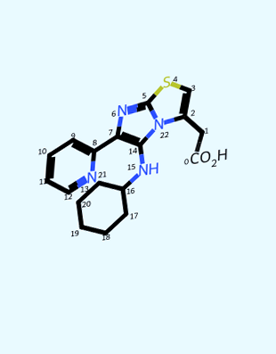 O=C(O)Cc1csc2nc(-c3ccccn3)c(NC3CCCCC3)n12